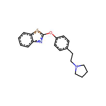 c1ccc2sc(Oc3ccc(CCN4CCCC4)cc3)nc2c1